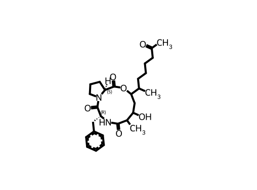 CC(=O)CCCCC(C)C1CC(O)C(C)C(=O)N[C@H](Cc2ccccc2)C(=O)N2CCC[C@H]2C(=O)O1